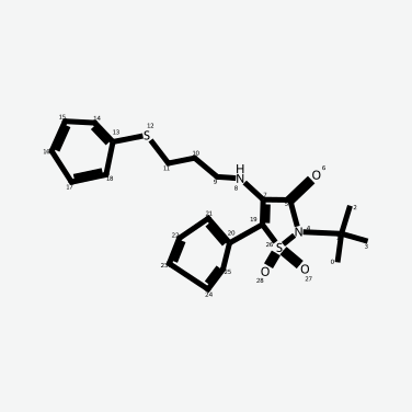 CC(C)(C)N1C(=O)C(NCCCSc2ccccc2)=C(c2ccccc2)S1(=O)=O